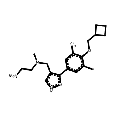 CNCCN(C)Cc1c[nH]nc1-c1cc(F)c(OCC2CCC2)c(C(F)(F)F)c1